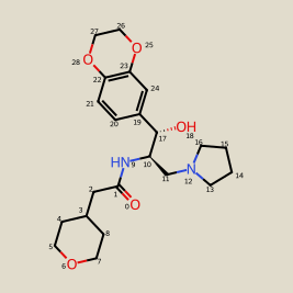 O=C(CC1CCOCC1)N[C@H](CN1CCCC1)[C@@H](O)c1ccc2c(c1)OCCO2